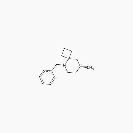 C[C@H]1CCN(Cc2ccccc2)C2(CCC2)C1